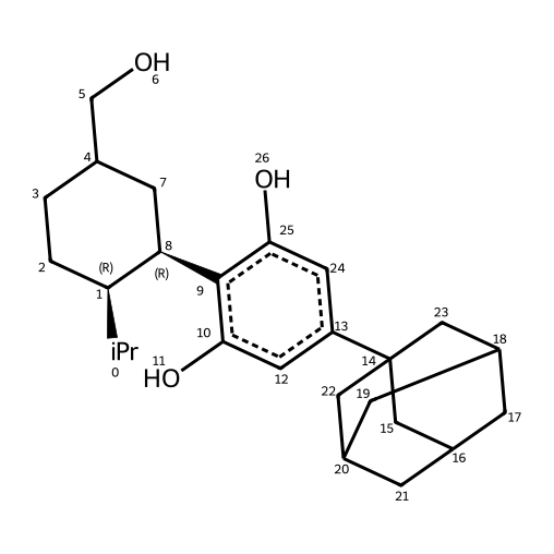 CC(C)[C@H]1CCC(CO)C[C@H]1c1c(O)cc(C23CC4CC(CC(C4)C2)C3)cc1O